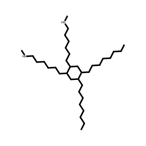 CCCCCCCCC1CC(CCCCCCNC)C(CCCCCCNC)CC1CCCCCCCC